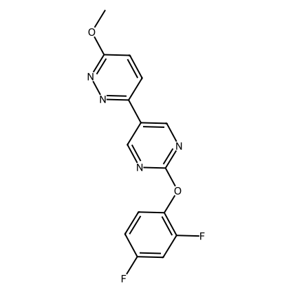 COc1ccc(-c2cnc(Oc3ccc(F)cc3F)nc2)nn1